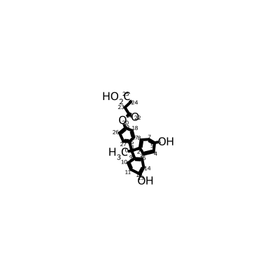 CC(c1ccc(O)cc1)(c1ccc(O)cc1)c1ccc(OC(=O)CCC(=O)O)cc1